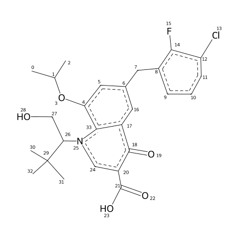 CC(C)Oc1cc(Cc2cccc(Cl)c2F)cc2c(=O)c(C(=O)O)cn(C(CO)C(C)(C)C)c12